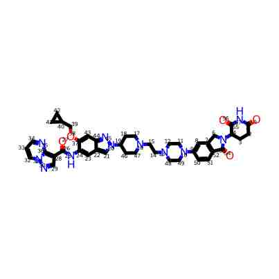 O=C1CCC(N2Cc3cc(N4CCN(CCN5CCC(n6cc7cc(NC(=O)c8cnn9cccnc89)c(OCC8CC8)cc7n6)CC5)CC4)ccc3C2=O)C(=O)N1